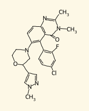 Cc1nc2ccc(N3CCOC(c4cnn(C)c4)C3)c(-c3ccc(Cl)cc3F)c2c(=O)n1C